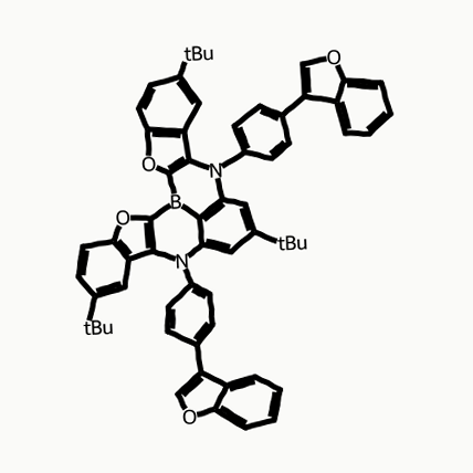 CC(C)(C)c1cc2c3c(c1)N(c1ccc(-c4coc5ccccc45)cc1)c1c(oc4ccc(C(C)(C)C)cc14)B3c1oc3ccc(C(C)(C)C)cc3c1N2c1ccc(-c2coc3ccccc23)cc1